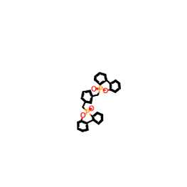 O=P1(Cc2cccc(CP3(=O)Oc4ccccc4-c4ccccc43)c2)Oc2ccccc2-c2ccccc21